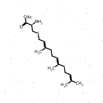 CC(=O)OC(=O)[C@@H](N)CSC/C=C(\C)CC/C=C(\C)CCC=C(C)C